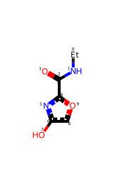 CCNC(=O)c1nc(O)co1